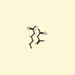 C=C(C)CC(C)=O.CCCCCC(C)=O